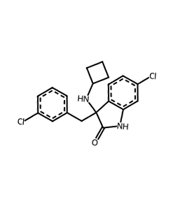 O=C1Nc2cc(Cl)ccc2C1(Cc1cccc(Cl)c1)NC1CCC1